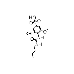 CCCCNC(=O)Nc1ccc(S(=O)(=O)O)cc1OC.[KH]